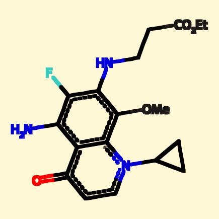 CCOC(=O)CCNc1c(F)c(N)c2c(=O)ccn(C3CC3)c2c1OC